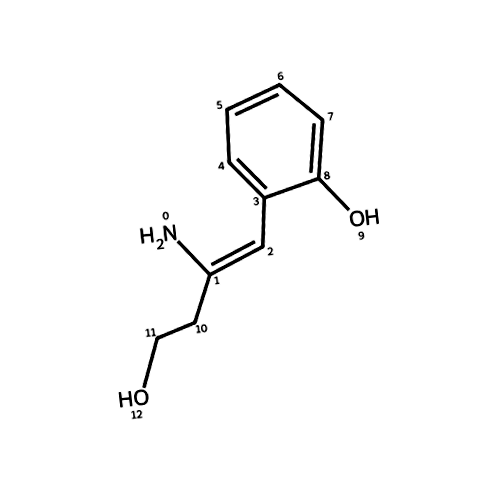 NC(=Cc1ccccc1O)CCO